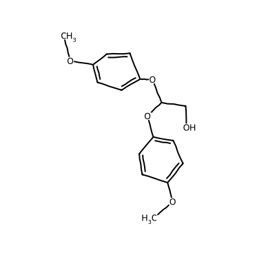 COc1ccc(OC(CO)Oc2ccc(OC)cc2)cc1